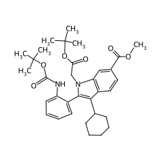 COC(=O)c1ccc2c(C3CCCCC3)c(-c3ccccc3NC(=O)OC(C)(C)C)n(CC(=O)OC(C)(C)C)c2c1